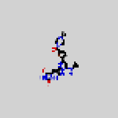 CCN1CCN(C(=O)c2ccc(-c3cc(NC4CC4)n4ncc(/C=C5\NC(=O)NC5=O)c4n3)s2)CC1